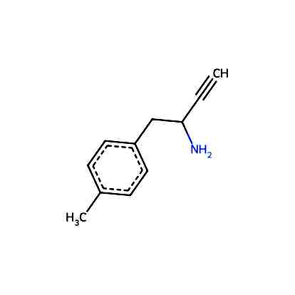 C#CC(N)Cc1ccc(C)cc1